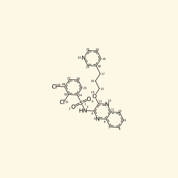 O=S(=O)(Nc1nc2ccccc2nc1OCCCc1cccnc1)c1cccc(Cl)c1Cl